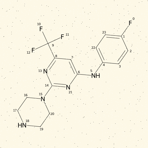 Fc1ccc(Nc2cc(C(F)(F)F)nc(N3CCNCC3)n2)cc1